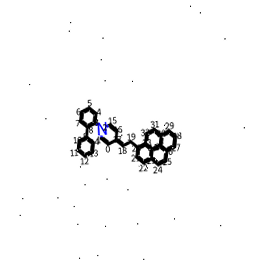 C1=CN(c2ccccc2-c2ccccc2)C=CC1=CCc1ccc2ccc3cccc4ccc1c2c34